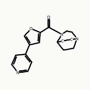 O=C(c1cc(-c2ccncc2)co1)N1CCN2CCC1CC2